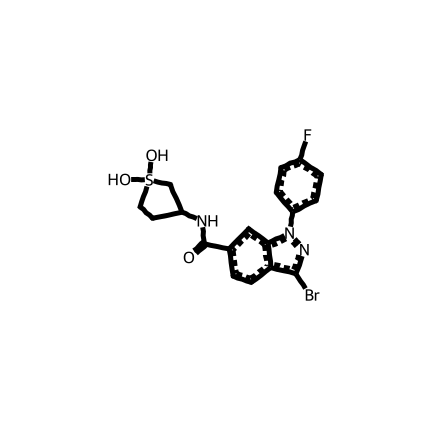 O=C(NC1CCS(O)(O)C1)c1ccc2c(Br)nn(-c3ccc(F)cc3)c2c1